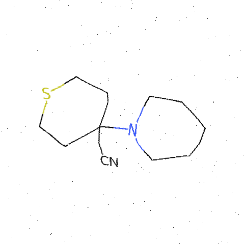 N#CC1(N2CCCCC2)CCSCC1